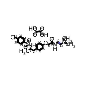 CC(Cc1ccc(OCC(=O)N/C=C/N(C)C)cc1)NS(=O)(=O)c1ccc(Cl)cc1.O=C(O)C(=O)O